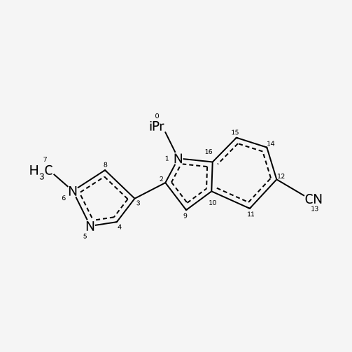 CC(C)n1c(-c2cnn(C)c2)cc2cc(C#N)ccc21